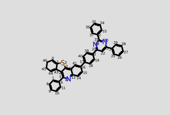 C1=c2sc3c(c(-c4ccccc4)nc4ccc(-c5ccc(-c6cc(-c7ccccc7)nc(-c7ccccc7)n6)cc5)cc43)c2=CCC1